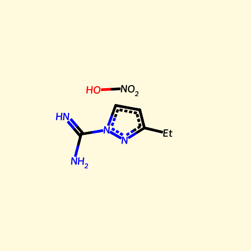 CCc1ccn(C(=N)N)n1.O=[N+]([O-])O